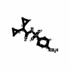 O=C(O)c1ccc(S(=O)(=O)NC(=O)C(C2CC2)C2CC2)cc1